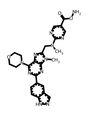 CN(Cc1nc2c(N3CCOCC3)nc(-c3ccc4[nH]ncc4c3)nc2n1C)c1ncc(C(=O)ON)cn1